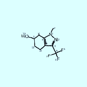 Cn1nc(C(F)(F)F)c2c1CC(O)CC2